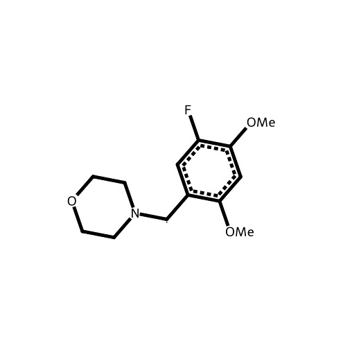 COc1cc(OC)c([CH]N2CCOCC2)cc1F